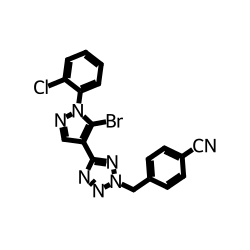 N#Cc1ccc(Cn2nnc(-c3cnn(-c4ccccc4Cl)c3Br)n2)cc1